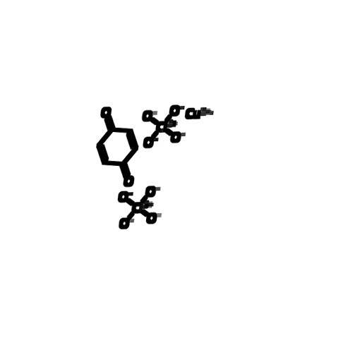 O=C1C=CC(=O)C=C1.[Cu+2].[O-][Cl+3]([O-])([O-])[O-].[O-][Cl+3]([O-])([O-])[O-]